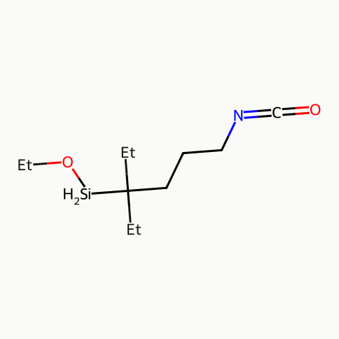 CCO[SiH2]C(CC)(CC)CCCN=C=O